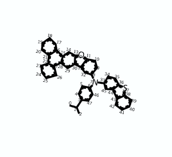 CC(C)c1ccc(N(c2ccc3oc4cc5c6ccccc6c6ccccc6c5cc4c3c2)c2ccc3sc4ccccc4c3c2)cc1